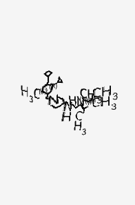 CCC1=C(CCNC2CCN(CC3C[C@H](C4CC4)C(C4CCC4)=C[C@@H]3C)CC2)N[C@@H](C)[C@@H]([C@H](C)CC)C1